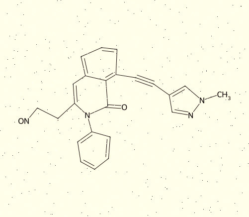 Cn1cc(C#Cc2cccc3cc([CH]CN=O)n(-c4ccccc4)c(=O)c23)cn1